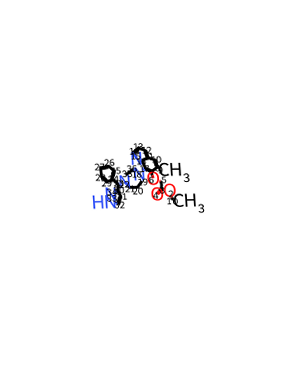 CCOC(=O)COc1c(C)cc2cccnc2c1N1CCCN(C(c2ccccc2)c2cc[nH]n2)CC1